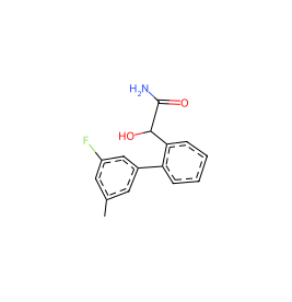 Cc1cc(F)cc(-c2ccccc2C(O)C(N)=O)c1